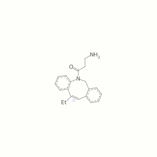 CC/C1=C/c2ccccc2CN(C(=O)CCN)c2ccccc21